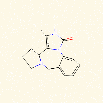 O=C(O)c1[nH]c(=O)n2c1[C@@H]1CCCN1Cc1ccccc1-2